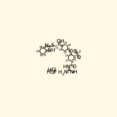 CS(=O)(=O)c1cc(C(=O)NC(=N)N)ccc1Oc1ccc(C(O)CSc2nc3ccccc3[nH]2)cc1.Cl.Cl